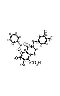 O=C(O)c1c(Br)c(=O)c(OCc2ccccc2)c2n1CCN(Cc1ccc(F)c(Cl)c1)C2=O